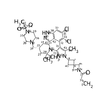 C=CC(=O)N1CC2(CC(n3nc(N4CC[C@@H](CN5CCN(S(C)(=O)=O)CC5)CC4(C)C)c(-c4c(Cl)c(Cl)cc5[nH]ncc45)c3C)C2)C1